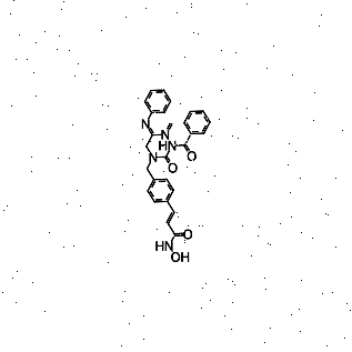 C=N/C(CN(Cc1ccc(/C=C/C(=O)NO)cc1)C(=O)NC(=O)c1ccccc1)=N\c1ccccc1